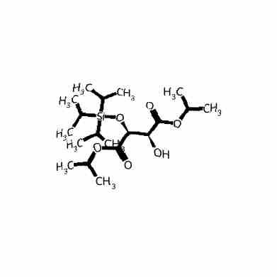 CC(C)OC(=O)[C@@H](O)[C@H](O[Si](C(C)C)(C(C)C)C(C)C)C(=O)OC(C)C